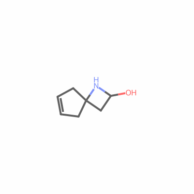 OC1CC2(CC=CC2)N1